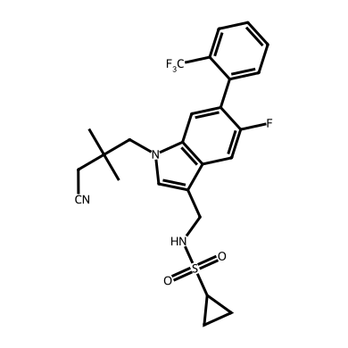 CC(C)(CC#N)Cn1cc(CNS(=O)(=O)C2CC2)c2cc(F)c(-c3ccccc3C(F)(F)F)cc21